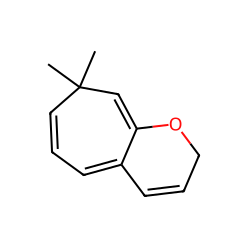 CC1(C)C=CC=C2C=CCOC2=C1